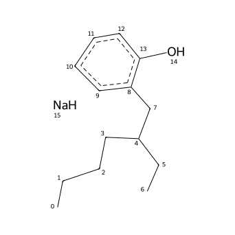 CCCCC(CC)Cc1ccccc1O.[NaH]